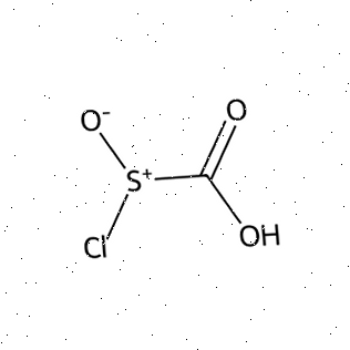 O=C(O)[S+]([O-])Cl